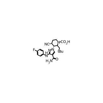 CC(C)(C)CC1[C@H](n2cc(C(N)=O)c(Nc3ccc(F)cc3)n2)[C@@H](C#N)CCN1C(=O)O